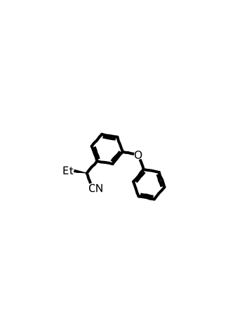 CC[C@H](C#N)c1cccc(Oc2ccccc2)c1